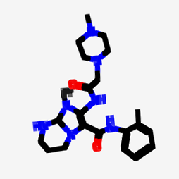 Cc1ccccc1NC(=O)C1=C(NC(=O)CN2CCN(C)CC2)N(C(C)C)C2NCCCN12